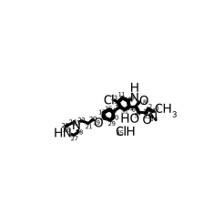 Cc1cc(C(O)=C2C(=O)Nc3cc(Cl)c(-c4ccc(OCCCN5CCNCC5)cc4)cc32)on1.Cl